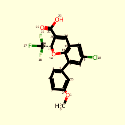 COc1cccc(-c2cc(Cl)cc3c2O[C@H](C(F)(F)F)C(C(=O)O)=C3)c1